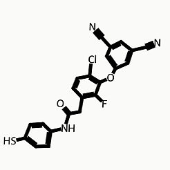 N#Cc1cc(C#N)cc(Oc2c(Cl)ccc(CC(=O)Nc3ccc(S)cc3)c2F)c1